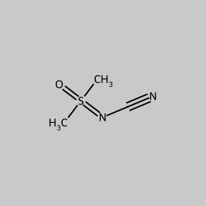 CS(C)(=O)=NC#N